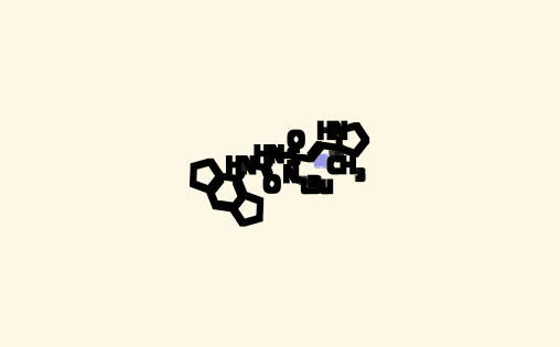 CC(C)(C)N=S(=O)(/C=C/[C@]1(C)CCCN1)NC(=O)Nc1c2c(cc3c1CCC3)CCC2